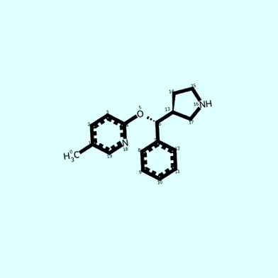 Cc1ccc(O[C@@H](c2ccccc2)[C@H]2CCNC2)nc1